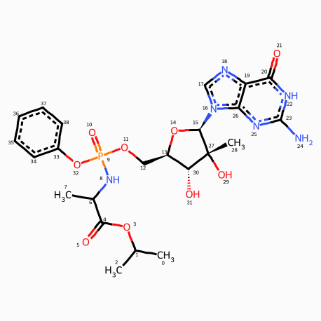 CC(C)OC(=O)C(C)NP(=O)(OC[C@H]1O[C@@H](n2cnc3c(=O)[nH]c(N)nc32)[C@](C)(O)[C@@H]1O)Oc1ccccc1